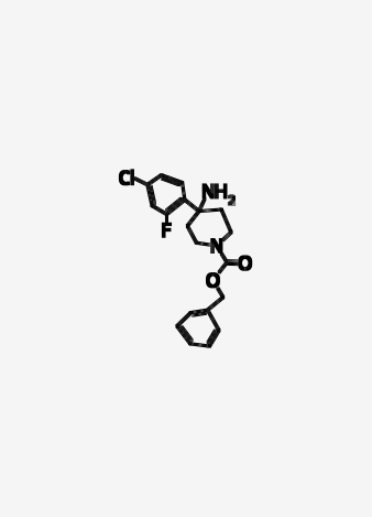 NC1(c2ccc(Cl)cc2F)CCN(C(=O)OCc2ccccc2)CC1